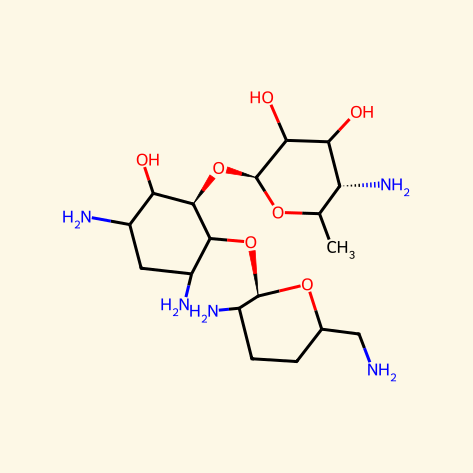 CC1O[C@@H](O[C@@H]2C(O)C(N)CC(N)C2O[C@H]2OC(CN)CCC2N)C(O)C(O)[C@@H]1N